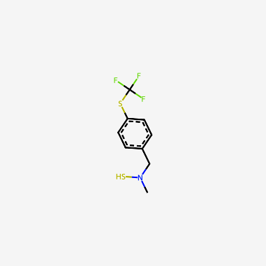 CN(S)Cc1ccc(SC(F)(F)F)cc1